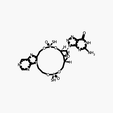 Nc1nc2c(nnn2[C@@H]2O[C@@H]3COP(=O)(S)OCCn4c(nc5cncnc54)COP(=O)(S)O[C@@H]2[C@H]3F)c(=O)[nH]1